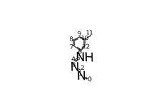 C=NC/N=C\Nc1cccc(C)c1